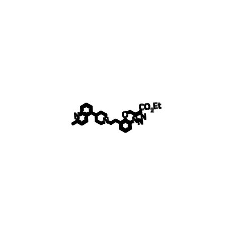 CCOC(=O)c1nnn2c1COc1c(CCN3CCC(c4cccc5nc(C)ccc45)CC3)cccc1-2